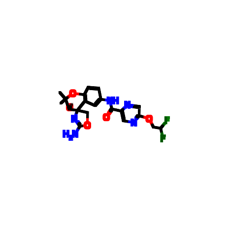 CC1(C)Oc2ccc(NC(=O)c3cnc(OCC(F)F)cn3)cc2C2(COC(N)=N2)C12COC2